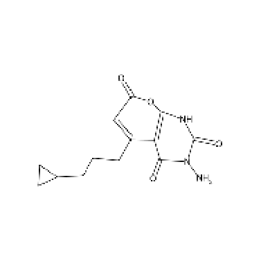 Nn1c(=O)[nH]c2oc(=O)cc(CCCC3CC3)c2c1=O